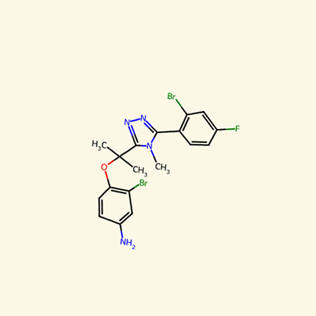 Cn1c(-c2ccc(F)cc2Br)nnc1C(C)(C)Oc1ccc(N)cc1Br